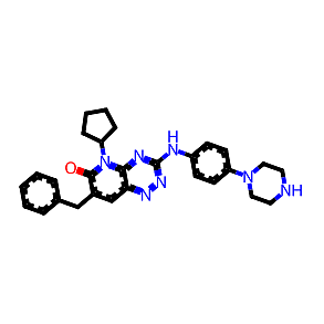 O=c1c(Cc2ccccc2)cc2nnc(Nc3ccc(N4CCNCC4)cc3)nc2n1C1CCCC1